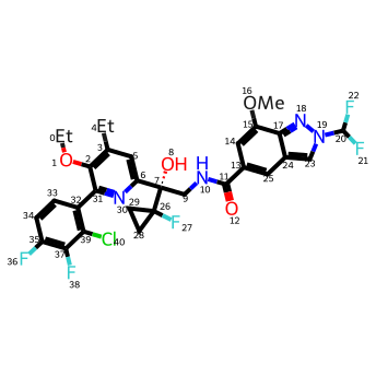 CCOc1c(CC)cc([C@@](O)(CNC(=O)c2cc(OC)c3nn(C(F)F)cc3c2)C2(F)CC2)nc1-c1ccc(F)c(F)c1Cl